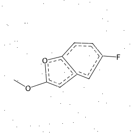 COc1cc2cc(F)ccc2o1